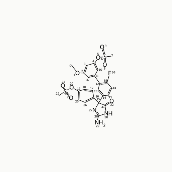 COc1cc(OS(C)(=O)=O)cc(-c2cc(C3(c4ccc(OS(C)(=O)=O)cc4)N=C(N)NC3=O)ccc2F)c1